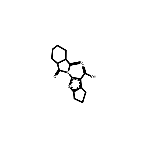 O=C(O)c1c(N2C(=O)C3CCCCC3C2=O)sc2c1CCC2